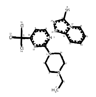 CCN1CCN(c2nccc(C(Cl)(Cl)Cl)n2)CC1.Sc1nnc2ccccn12